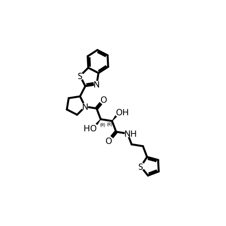 O=C(NCCc1cccs1)[C@H](O)[C@@H](O)C(=O)N1CCCC1c1nc2ccccc2s1